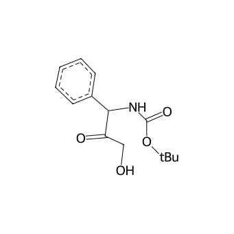 CC(C)(C)OC(=O)NC(C(=O)CO)c1ccccc1